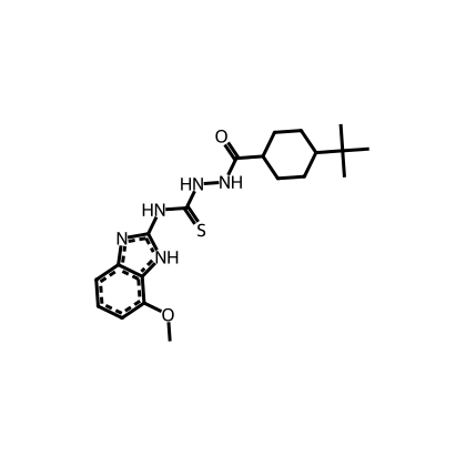 COc1cccc2nc(NC(=S)NNC(=O)C3CCC(C(C)(C)C)CC3)[nH]c12